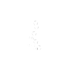 CC1(C)c2ccccc2-c2ccc(Nc3ccc(-c4ccc5ccccc5c4)cc3)cc21